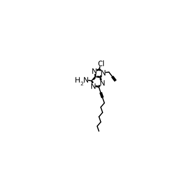 C#CCn1c(Cl)nc2c(N)nc(C#CCCCCCCC)nc21